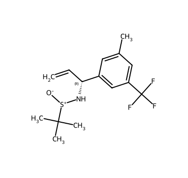 C=C[C@@H](N[S+]([O-])C(C)(C)C)c1cc(C)cc(C(F)(F)F)c1